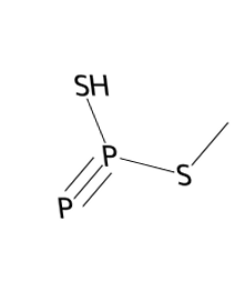 CSP(#P)S